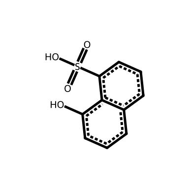 O=S(=O)(O)c1cccc2cccc(O)c12